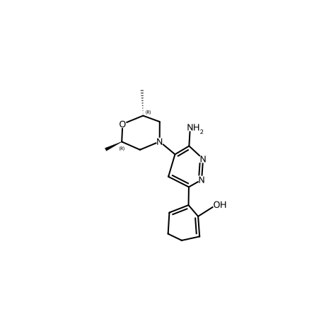 C[C@@H]1CN(c2cc(C3=CCCC=C3O)nnc2N)C[C@@H](C)O1